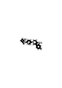 Fc1ccc2c3c([nH]c2c1)CCN(c1ccc(N2CC4CC[C@@H]42)nc1)C3